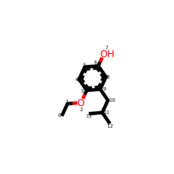 CCOc1ccc(O)cc1CC(C)C